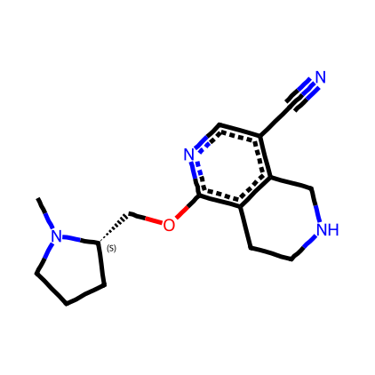 CN1CCC[C@H]1COc1ncc(C#N)c2c1CCNC2